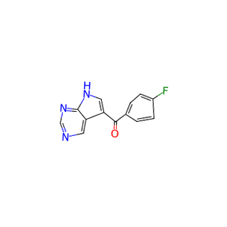 O=C(c1ccc(F)cc1)c1c[nH]c2ncncc12